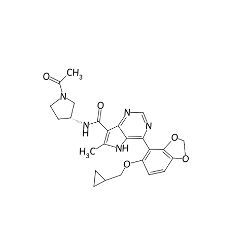 CC(=O)N1CC[C@@H](NC(=O)c2c(C)[nH]c3c(-c4c(OCC5CC5)ccc5c4OCO5)ncnc23)C1